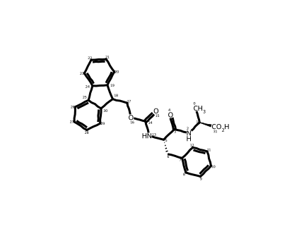 C[C@H](NC(=O)[C@H](Cc1ccccc1)NC(=O)OCC1c2ccccc2-c2ccccc21)C(=O)O